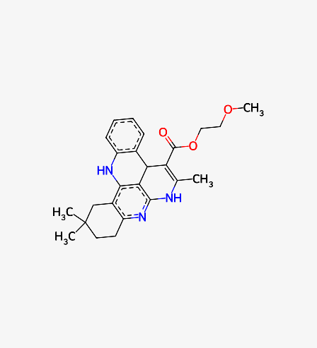 COCCOC(=O)C1=C(C)Nc2nc3c(c4c2C1c1ccccc1N4)CC(C)(C)CC3